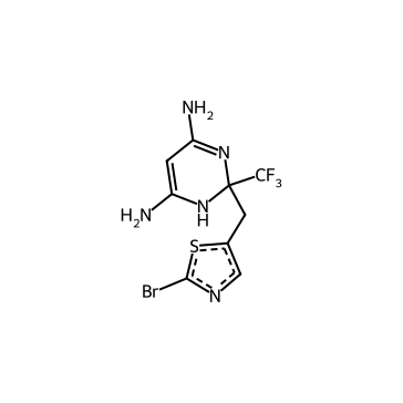 NC1=CC(N)=NC(Cc2cnc(Br)s2)(C(F)(F)F)N1